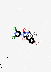 CC(=O)N1C(=O)N(c2cc(Cl)nc(Cl)c2)C(=O)[C@@]1(C)Cc1ccc(Br)cc1